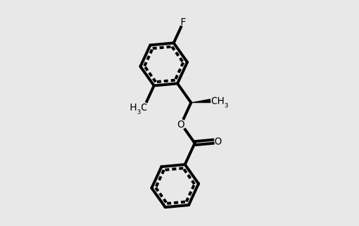 Cc1ccc(F)cc1[C@@H](C)OC(=O)c1ccccc1